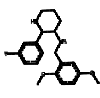 COc1ccc(OC)c(CNC2CCCNC2c2cccc(F)c2)c1